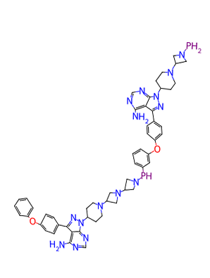 Nc1ncnc2c1c(-c1ccc(Oc3cccc(PN4CC(N5CC(N6CCC(n7nc(-c8ccc(Oc9ccccc9)cc8)c8c(N)ncnc87)CC6)C5)C4)c3)cc1)nn2C1CCN(C2CN(P)C2)CC1